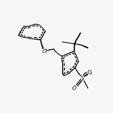 CC(C)(C)c1cc(S(C)(=O)=O)ccc1COc1ccccc1